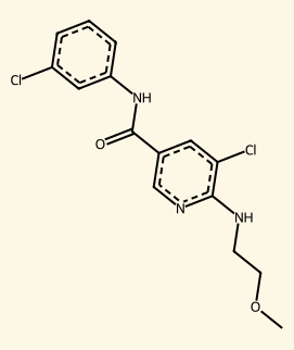 COCCNc1ncc(C(=O)Nc2cccc(Cl)c2)cc1Cl